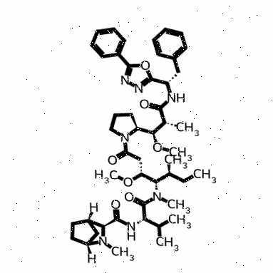 CC[C@H](C)[C@@H]([C@@H](CC(=O)N1CCC[C@H]1[C@H](OC)[C@@H](C)C(=O)N[C@@H](Cc1ccccc1)c1nnc(-c2ccccc2)o1)OC)N(C)C(=O)[C@@H](NC(=O)[C@@H]1[C@H]2CC[C@H](C2)N1C)C(C)C